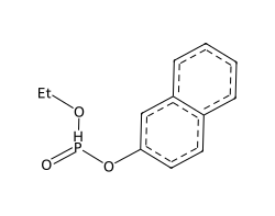 CCO[PH](=O)Oc1ccc2ccccc2c1